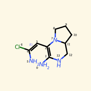 NC1=C(/C=C(\N)Cl)N2CCCC2CN1